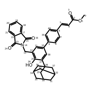 COC(=O)C=Cc1ccc(-c2cc(CN3C(=O)c4ccccc4C3=O)c(O)c(C34CC5CC(CC(C5)C3)C4)c2)cc1